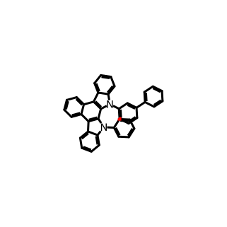 c1ccc(-c2cccc(-n3c4ccccc4c4c5ccccc5c5c6ccccc6n(-c6ccccc6)c5c43)c2)cc1